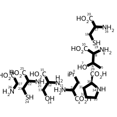 CC(C)CC(N)C(=O)O.CC(O)C(N)C(=O)O.NC(CO)C(=O)O.NC(CS)C(=O)O.NC(CS)C(=O)O.NCC(=O)O.O=C(O)[C@@H]1CCCN1